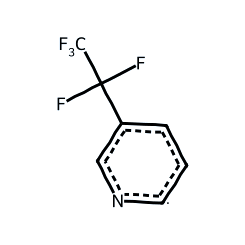 FC(F)(F)C(F)(F)c1cc[c]nc1